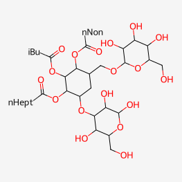 CCCCCCCCCC(=O)OC1C(COC2OC(CO)C(O)C(O)C2O)CC(OC2C(O)C(O)OC(CO)C2O)C(OC(=O)CCCCCCC)C1OC(=O)C(C)CC